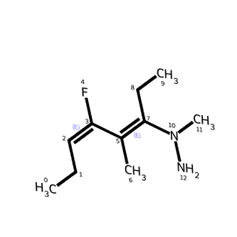 CC/C=C(F)\C(C)=C(/CC)N(C)N